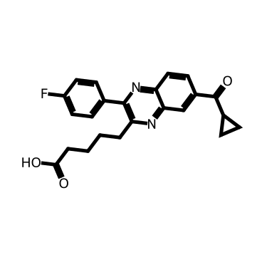 O=C(O)CCCCc1nc2cc(C(=O)C3CC3)ccc2nc1-c1ccc(F)cc1